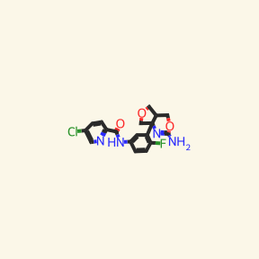 NC1=NC2(c3cc(NC(=O)c4ccc(Cl)cn4)ccc3F)COCC2CO1